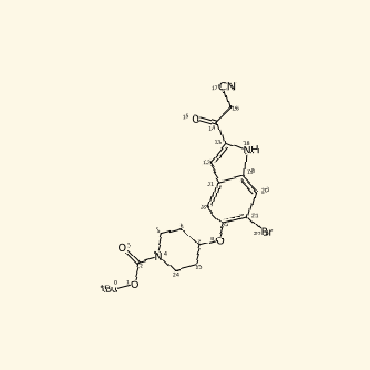 CC(C)(C)OC(=O)N1CCC(Oc2cc3cc(C(=O)CC#N)[nH]c3cc2Br)CC1